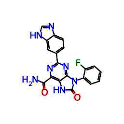 NC(=O)c1nc(-c2ccc3nc[nH]c3c2)nc2c1[nH]c(=O)n2-c1ccccc1F